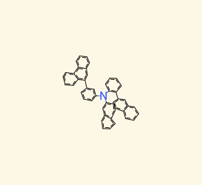 c1cc(-c2cc3ccccc3c3ccccc23)cc(N(c2ccc3ccccc3c2)c2ccccc2-c2ccc3ccccc3c2)c1